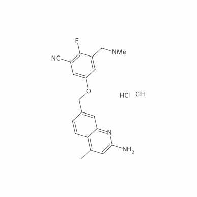 CNCc1cc(OCc2ccc3c(C)cc(N)nc3c2)cc(C#N)c1F.Cl.Cl